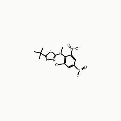 CN(c1nnc(C(C)(C)C)s1)c1c(Cl)cc([N+](=O)[O-])cc1[N+](=O)[O-]